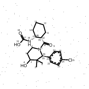 CC1(C)C(O)CCN(C(=O)[C@H]2CCCC[C@H]2NC(=O)O)[C@H]1c1ccc(Cl)cc1